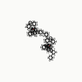 c1ccc(-c2cccc(-c3cc(-c4cccc5oc6c(-c7cccc(-c8ccc(-c9cc(-c%10cccc%11oc%12cccc(-c%13nc%14ccccc%14s%13)c%12c%10%11)nc(-c%10ccccc%10)n9)cc8)c7)ccc(-c7nc8ccccc8s7)c6c45)nc(-c4ccccc4)n3)c2)cc1